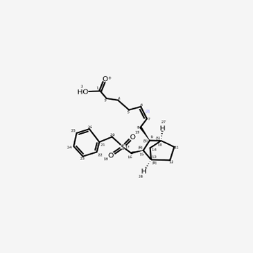 O=C(O)CCC/C=C\C[C@H]1[C@H]2CC[C@H](C2)[C@H]1CS(=O)(=O)Cc1ccccc1